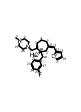 CN1CCN(CC2CCC/C(=C/c3ccco3)CC2(O)Cc2cccc(F)c2)CC1